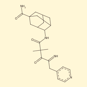 CC(C)(C(=O)NC1C2CC3CC1CC(C(N)=O)(C3)C2)C(=O)C(=N)Cc1ccncc1